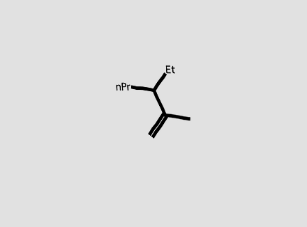 C=C(C)C(CC)CCC